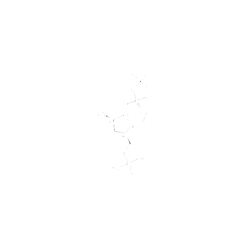 B[C@@H]1C[C@H](CCP(=O)(O)O)[C@@H](OC)[C@H]1OP(O)(=S)OC(C)(C)C